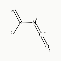 C=C(C)N=C=O